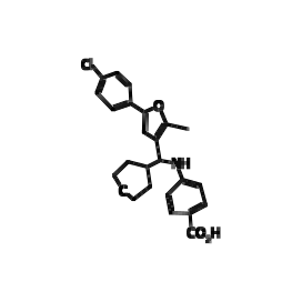 Cc1oc(-c2ccc(Cl)cc2)cc1C(Nc1ccc(C(=O)O)cc1)C1CCCCC1